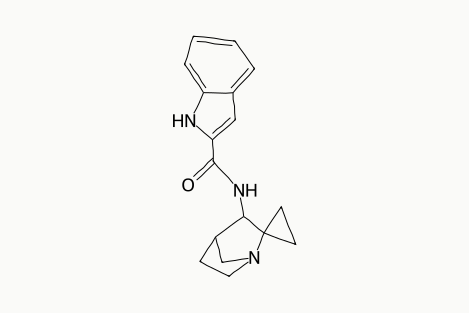 O=C(NC1C2CCN(C2)C12CC2)c1cc2ccccc2[nH]1